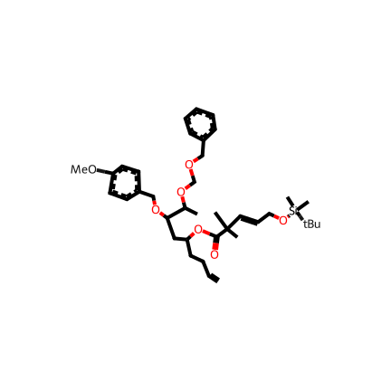 C=CCCC(CC(OCc1ccc(OC)cc1)C(C)OCOCc1ccccc1)OC(=O)C(C)(C)/C=C/CO[Si](C)(C)C(C)(C)C